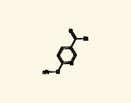 CCCOc1ccc(C(=O)CC)cn1